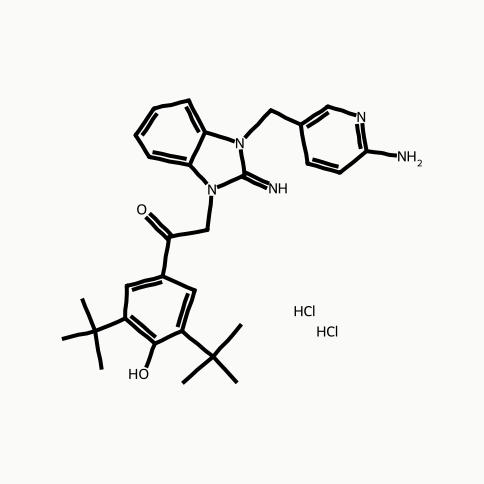 CC(C)(C)c1cc(C(=O)Cn2c(=N)n(Cc3ccc(N)nc3)c3ccccc32)cc(C(C)(C)C)c1O.Cl.Cl